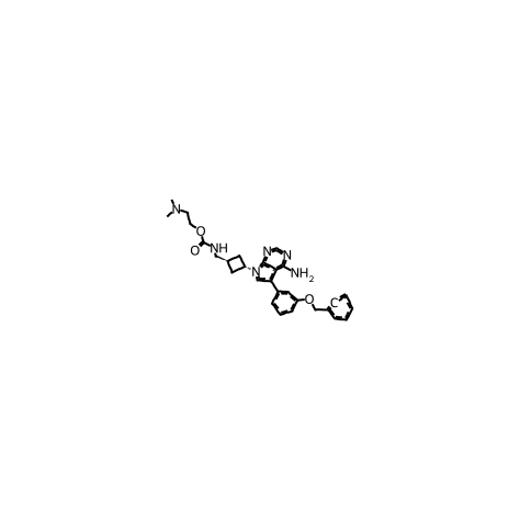 CN(C)CCOC(=O)NC[C@H]1C[C@H](n2cc(-c3cccc(OCc4ccccc4)c3)c3c(N)ncnc32)C1